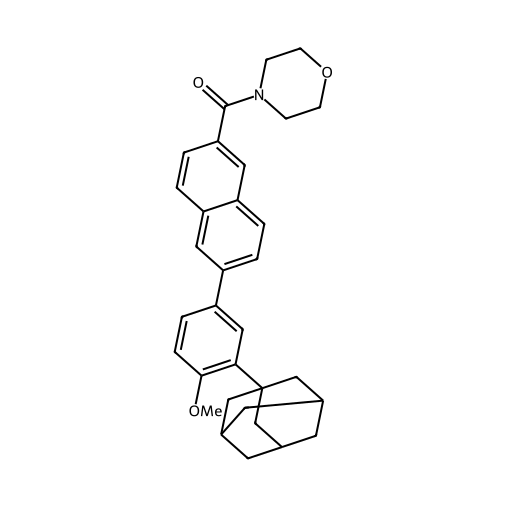 COc1ccc(-c2ccc3cc(C(=O)N4CCOCC4)ccc3c2)cc1C12CC3CC(CC(C3)C1)C2